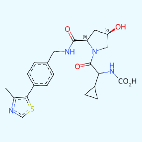 Cc1ncsc1-c1ccc(CNC(=O)[C@H]2C[C@@H](O)CN2C(=O)C(NC(=O)O)C2CC2)cc1